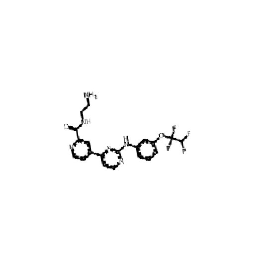 NCCNC(=O)c1cc(-c2ccnc(Nc3cccc(OC(F)(F)C(F)F)c3)n2)ccn1